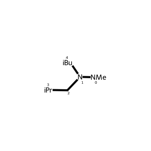 [CH2]NN(CC(C)C)C(C)CC